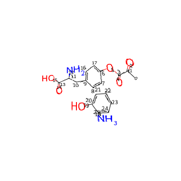 CC(=O)C(=O)Oc1ccc(C[C@H](N)C(=O)O)cc1.N.Oc1ccccc1